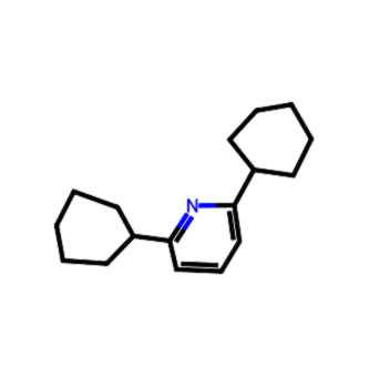 c1cc(C2CCCCC2)nc(C2CCCCC2)c1